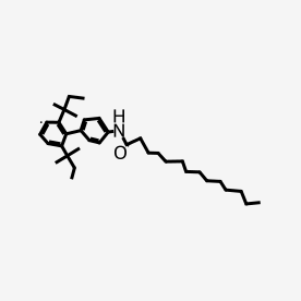 CCCCCCCCCCCCCC(=O)Nc1ccc(-c2c(C(C)(C)CC)[c]ccc2C(C)(C)CC)cc1